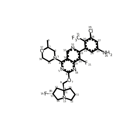 CC1CN(c2nc(OC[C@@]34CCCN3C[C@H](F)C4)nc3c(F)c(-c4cc(N)cc(Cl)c4C(F)(F)F)ncc23)CCO1